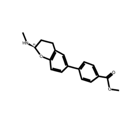 CN[C@H]1CCc2cc(-c3ccc(C(=O)OC)cc3)ccc2O1